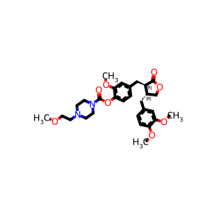 COCCN1CCN(C(=O)Oc2ccc(C[C@H]3C(=O)OC[C@@H]3Cc3ccc(OC)c(OC)c3)cc2OC)CC1